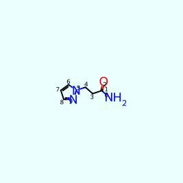 NC(=O)CCn1cccn1